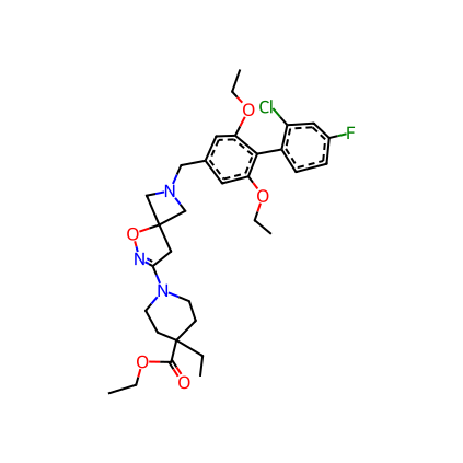 CCOC(=O)C1(CC)CCN(C2=NOC3(C2)CN(Cc2cc(OCC)c(-c4ccc(F)cc4Cl)c(OCC)c2)C3)CC1